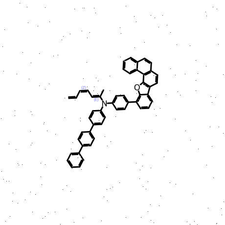 C=C/C=C\C=C(/C)N(c1ccc(-c2ccc(-c3ccccc3)cc2)cc1)c1ccc(-c2cccc3c2oc2c3ccc3ccc4ccccc4c32)cc1